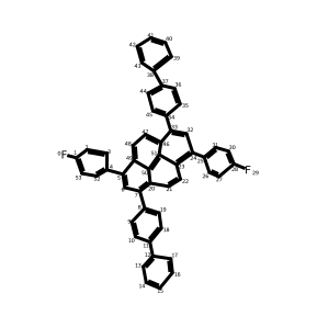 Fc1ccc(-c2cc(-c3ccc(-c4ccccc4)cc3)c3ccc4c(-c5ccc(F)cc5)cc(-c5ccc(-c6ccccc6)cc5)c5ccc2c3c45)cc1